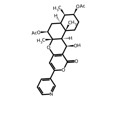 CC(=O)O[C@H]1CC[C@]2(C)[C@H]3[C@@H](O)c4c(cc(-c5cccnc5)oc4=O)O[C@]3(C)[C@@H](OC(C)=O)C[C@H]2[C@H]1C